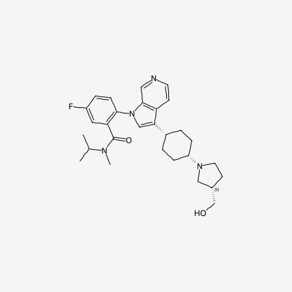 CC(C)N(C)C(=O)c1cc(F)ccc1-n1cc([C@H]2CC[C@@H](N3CC[C@H](CO)C3)CC2)c2ccncc21